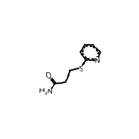 NC(=O)CCSc1ccccn1